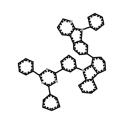 c1ccc(-c2nc(-c3ccccc3)nc(-c3cccc(-n4c5ccccc5c5cccc(-c6ccc7c8cccnc8n(-c8ccccc8)c7c6)c54)c3)n2)cc1